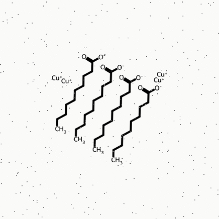 CCCCCCCCCC(=O)[O-].CCCCCCCCCC(=O)[O-].CCCCCCCCCC(=O)[O-].CCCCCCCCCC(=O)[O-].[Cu+].[Cu+].[Cu+].[Cu+]